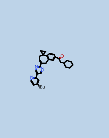 CCC(C)c1ccnc(-c2cnc(C3=CCC4(CC4)c4ccc(C(=O)CC5CCCCC5)cc4C3)nc2)c1